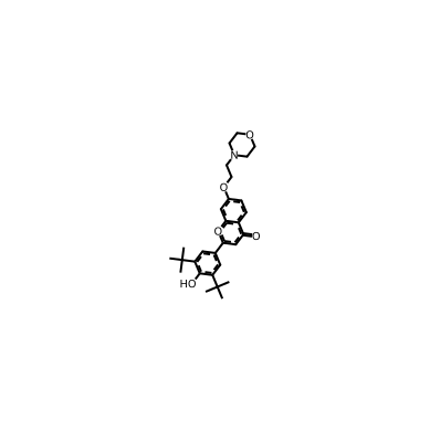 CC(C)(C)c1cc(-c2cc(=O)c3ccc(OCCN4CCOCC4)cc3o2)cc(C(C)(C)C)c1O